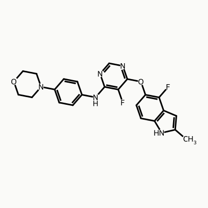 Cc1cc2c(F)c(Oc3ncnc(Nc4ccc(N5CCOCC5)cc4)c3F)ccc2[nH]1